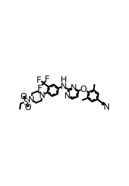 CCS(=O)(=O)N1CCN(c2ccc(Nc3nccc(Oc4c(C)cc(C#N)cc4C)n3)cc2C(F)(F)F)CC1